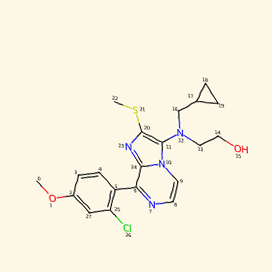 COc1ccc(-c2nccn3c(N(CCO)CC4CC4)c(SC)nc23)c(Cl)c1